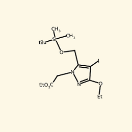 CCOC(=O)Cn1nc(OCC)c(I)c1CO[Si](C)(C)C(C)(C)C